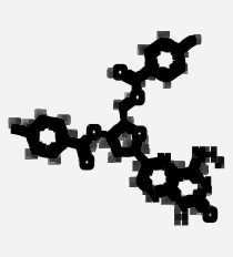 Cc1ccc(C(=O)OC[C@H]2O[C@@H](c3cnc4[nH]c(=O)nc(N)c4n3)C[C@@H]2OC(=O)c2ccc(C)cc2)cc1